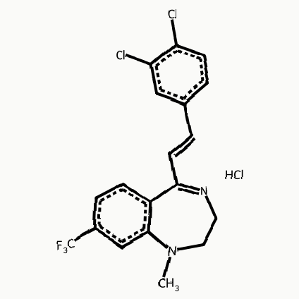 CN1CCN=C(/C=C/c2ccc(Cl)c(Cl)c2)c2ccc(C(F)(F)F)cc21.Cl